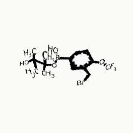 CC(C)(O)C(C)(C)OB(O)c1ccc(OC(F)(F)F)c(CBr)c1